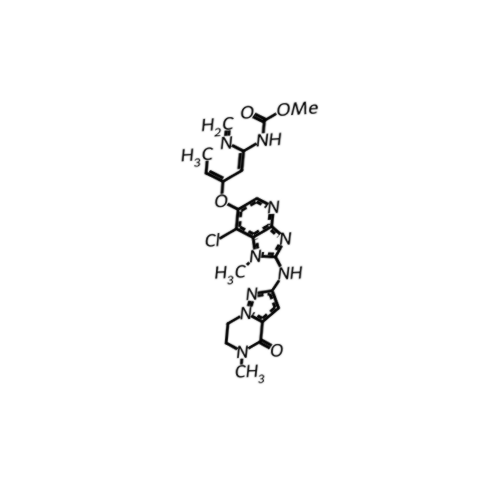 C=N/C(=C\C(=C/C)Oc1cnc2nc(Nc3cc4n(n3)CCN(C)C4=O)n(C)c2c1Cl)NC(=O)OC